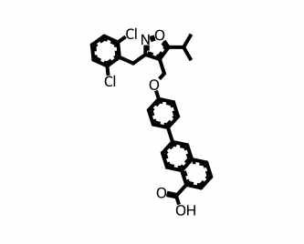 CC(C)c1onc(Cc2c(Cl)cccc2Cl)c1COc1ccc(-c2ccc3c(C(=O)O)cccc3c2)cc1